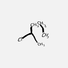 CC.CC(C)Cl